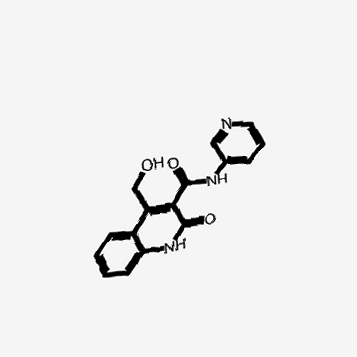 O=C(Nc1cccnc1)c1c(CO)c2ccccc2[nH]c1=O